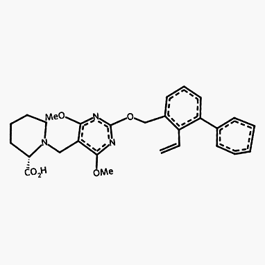 C=Cc1c(COc2nc(OC)c(CN3CCCC[C@H]3C(=O)O)c(OC)n2)cccc1-c1ccccc1